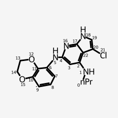 CCCNc1cc(Nc2cc[c]c3c2OCCO3)nc2[nH]cc(Cl)c12